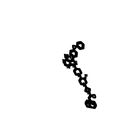 Nc1ncnc2c1c(-c1ccc(Oc3ccccc3)cc1)nn2C1CCN(C2CCN(C3CN(C(=O)CC45CC6CC(CC(C6)C4)C5)C3)CC2F)CC1